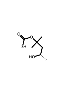 C[C@H](O)CC(C)(C)OC(=O)S